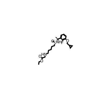 CCOC(=O)CNCCCCC[S+]([O-])N[C@@H](C)c1cccc(OCC2CC2)c1F